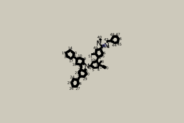 C#CC1(C)CC=C(n2c3ccc(-c4ccccc4)cc3c3cc(-c4ccccc4)ccc32)C=C1c1ccc(/C(N=C)=N/Cc2ccccc2)cc1C